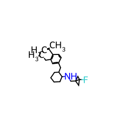 C=C(C)c1ccc(CC2CCCCC2NCC23CC2(F)C3)cc1CC